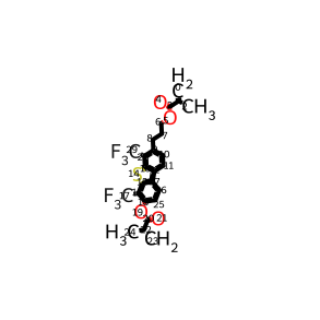 C=C(C)C(=O)OCCCc1ccc2c(sc3c(C(F)(F)F)c(OC(=O)C(=C)C)ccc32)c1C(F)(F)F